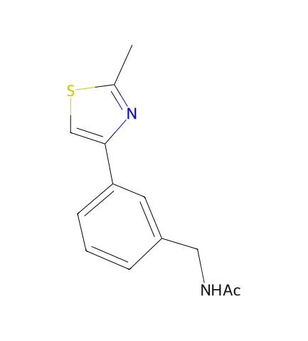 CC(=O)NCc1cccc(-c2csc(C)n2)c1